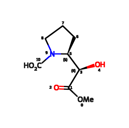 COC(=O)[C@H](O)[C@@H]1CCCN1C(=O)O